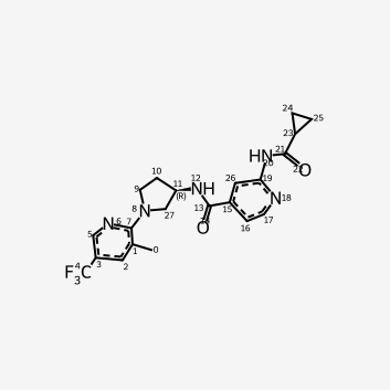 Cc1cc(C(F)(F)F)cnc1N1CC[C@@H](NC(=O)c2ccnc(NC(=O)C3CC3)c2)C1